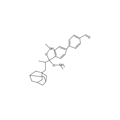 C[SiH2]OC(O[SiH2]C)(c1ccc(-c2ccc(C=O)cc2)cc1)C(C)CC12CC3CC(CC(C3)C1)C2